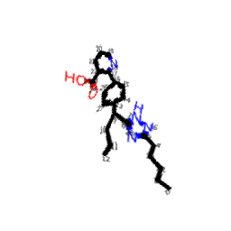 CCCCCc1n[nH]c(C(CCC)c2ccc(-c3ncccc3C(=O)O)cc2)n1